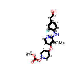 COc1c(OC2CCN(OC(=O)OC(C)C)CC2)ccnc1Nc1ccc(CCO)cc1F